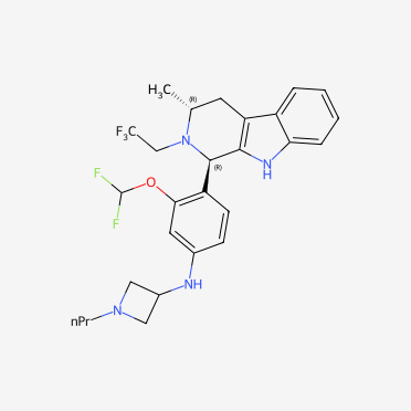 CCCN1CC(Nc2ccc([C@@H]3c4[nH]c5ccccc5c4C[C@@H](C)N3CC(F)(F)F)c(OC(F)F)c2)C1